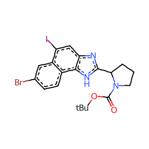 CC(C)(C)OC(=O)N1CCCC1c1nc2cc(I)c3cc(Br)ccc3c2[nH]1